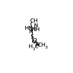 C#CCCN/C(=N/CCSCc1ccc(CN(C)C)o1)NC#N